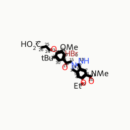 Br.CCOc1cc2c(cc1C(=O)NC)C(=N)N(CC(=O)c1cc(OC)c(OCCCC(=O)O)c(C(C)(C)C)c1)C2